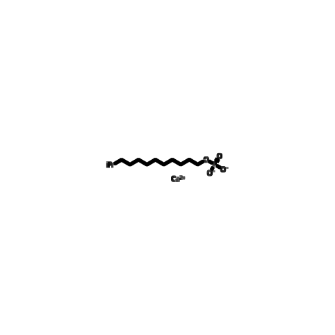 CC(C)CCCCCCCCCCOP(=O)([O-])[O-].[Ca+2]